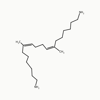 CC(=CCCC=C(C)CCCCCCN)CCCCCCN